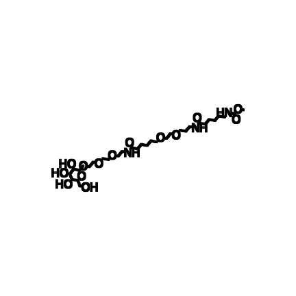 COC(=O)NCCCCCC(=O)NCCCOCCOCCCCCC(=O)NCCOCCOCCO[C@H]1OC(CO)[C@@H](O)[C@H](O)C1O